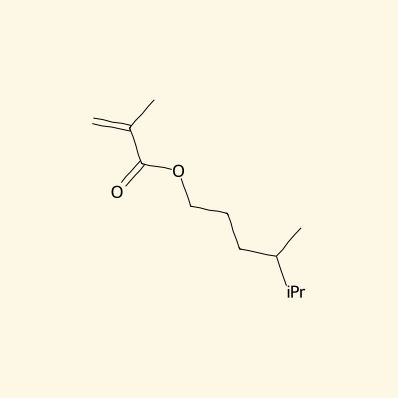 C=C(C)C(=O)OCCCC(C)C(C)C